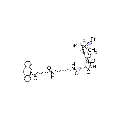 CC/N=C/OP(O[C@@H]1C[C@H](n2cc(/C=C/C(=O)NCCCCCCNC(=O)CCCCC(=O)N3Cc4ccccc4C#Cc4ccccc43)c(=O)[nH]c2=O)O[C@@H]1C)N(C(C)C)C(C)C